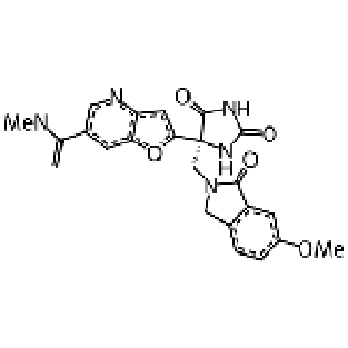 C=C(NC)c1cnc2cc([C@]3(CN4Cc5ccc(OC)cc5C4=O)NC(=O)NC3=O)oc2c1